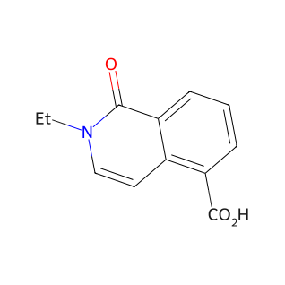 CCn1ccc2c(C(=O)O)cccc2c1=O